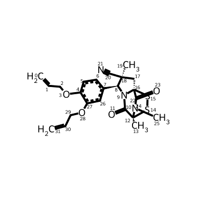 C=CCOc1ccc([C@@H]2N3C(=O)[C@]4(C)SS[C@@]3(C[C@]2(C)C#N)C(=O)N4C)cc1OCC=C